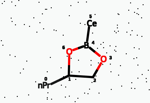 CCCC1CO[B]([Ce])O1